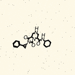 O=C(NC1CCCCC1)C1CNCC2C(=O)N(C3CC3c3ccccc3)C(=O)N12